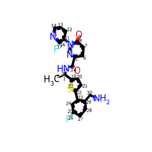 C[C@@H](NC(=O)c1ccc(=O)n(-c2cccnc2F)n1)c1ccc(-c2cc(F)ccc2CN)s1